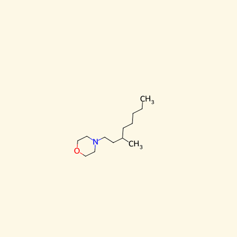 CCCCCC(C)CCN1CCOCC1